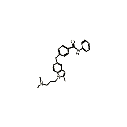 Cc1cc2cc(Cc3ccc(C(=O)Nc4ccccc4)cc3)ccc2n1CCCN(C)C